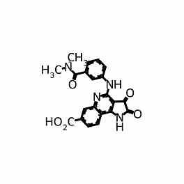 CN(C)C(=O)c1cccc(Nc2nc3cc(C(=O)O)ccc3c3c2C(=O)C(=O)N3)c1